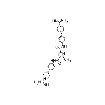 Cn1nc(C(=O)Nc2ccc(N3CCN(C(=N)N)CC3)cc2)cc1C(=O)Nc1ccc(N2CCN(C(=N)N)CC2)cc1